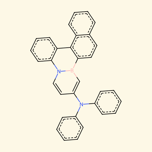 C1=CN2B(C=C1N(c1ccccc1)c1ccccc1)c1ccc3ccccc3c1-c1ccccc12